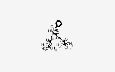 CC(C)(C)OC(=O)NC[C@H](NS(=O)(=O)c1ccccc1)C(=O)OCOC(=O)C(C)(C)C